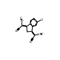 [C-]#[N+]/C(C#N)=C1/C/C(=C(\C#N)[N+]#[C-])c2cc(Cl)ccc21